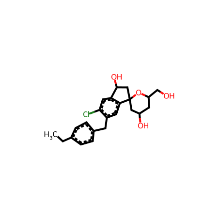 CCc1ccc(Cc2cc3c(cc2Cl)C(O)CC32CC(O)CC(CO)O2)cc1